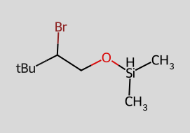 C[SiH](C)OCC(Br)C(C)(C)C